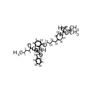 CCCCC(=O)Oc1cccc(OCCCCC2CCN(C(=O)OC(C)(C)C)CC2)c1NS(=O)(=O)Cc1ccccc1